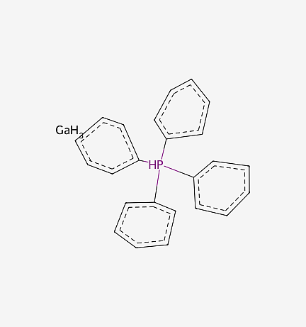 [GaH3].c1ccc([PH](c2ccccc2)(c2ccccc2)c2ccccc2)cc1